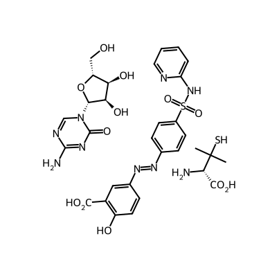 CC(C)(S)[C@@H](N)C(=O)O.Nc1ncn([C@@H]2O[C@H](CO)[C@@H](O)[C@H]2O)c(=O)n1.O=C(O)c1cc(N=Nc2ccc(S(=O)(=O)Nc3ccccn3)cc2)ccc1O